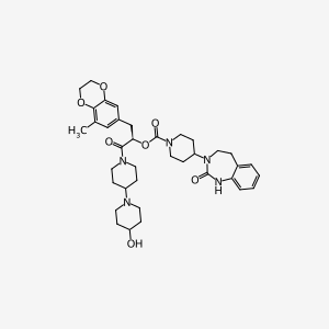 Cc1cc(C[C@@H](OC(=O)N2CCC(N3CCc4ccccc4NC3=O)CC2)C(=O)N2CCC(N3CCC(O)CC3)CC2)cc2c1OCCO2